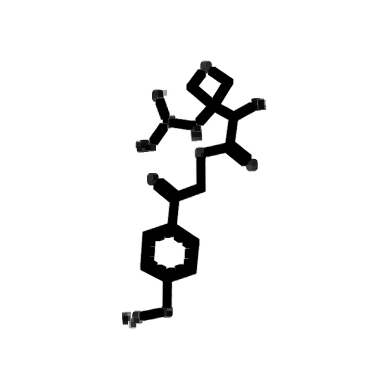 CCC(C(=O)OCC(=O)c1ccc(OC(F)(F)F)cc1)C1(N[S+]([O-])C(C)(C)C)COC1